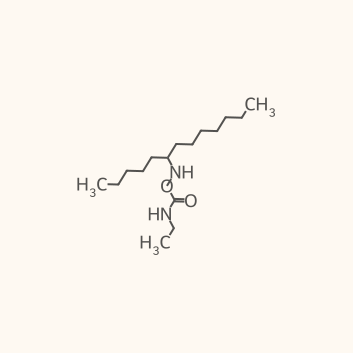 CCCCCCCC(CCCCC)NOC(=O)NCC